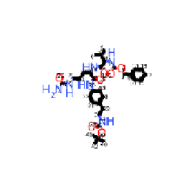 CC(C)[C@@H](NC(=O)OCc1ccccc1)C(=O)NC(CCCNC(N)=O)C(=O)Nc1ccc(CCNC(=O)OC(C)(C)C)cc1